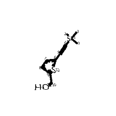 C[Si](C)(C)C#Cc1ccc(CO)s1